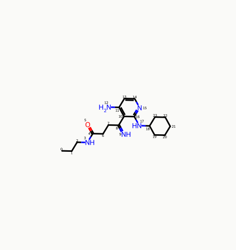 CCCNC(=O)CCC(=N)c1c(N)ccnc1NC1CCCCC1